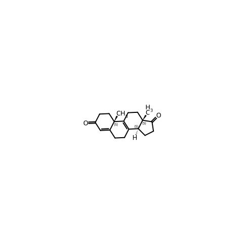 C[C@]12CCC(=O)C=C1CCC1=C2CC[C@]2(C)C(=O)CC[C@@H]12